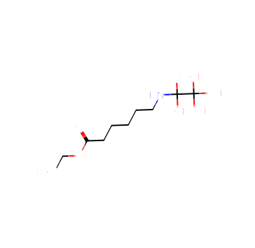 CCCCCCCCCCCOC(=O)CCCCCNC(O)(O)C(O)(O)O